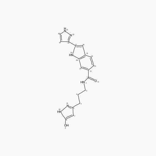 O=C(NCCCc1cc(O)[nH]n1)c1ccc2cc(-c3cc[nH]n3)[nH]c2c1